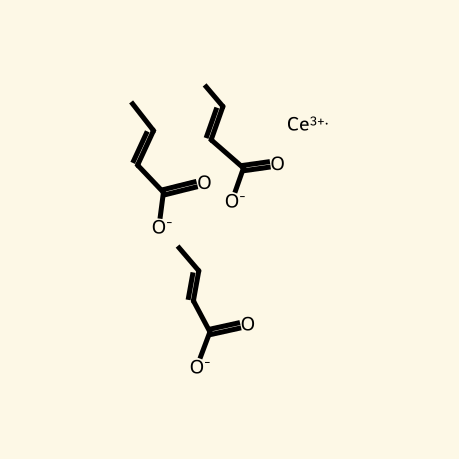 CC=CC(=O)[O-].CC=CC(=O)[O-].CC=CC(=O)[O-].[Ce+3]